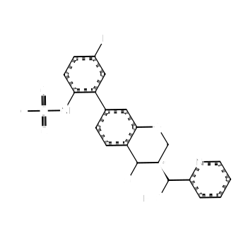 CC(c1ccccn1)[C@@H]1COc2cc(-c3cc(F)ccc3NS(=O)(=O)C(F)(F)F)ccc2C1O